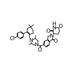 CC1CN(C(=O)c2ccc3c(c2)CN(C2CCC(=O)NC2=O)C3=O)CC(C)N1CC1=C(c2ccc(Cl)cc2)CC(C)(C)CC1